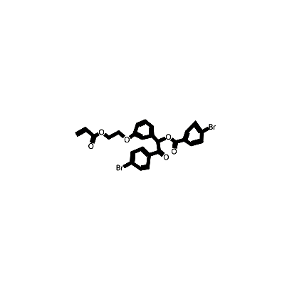 C=CC(=O)OCCOc1cccc(C(OC(=O)c2ccc(Br)cc2)C(=O)c2ccc(Br)cc2)c1